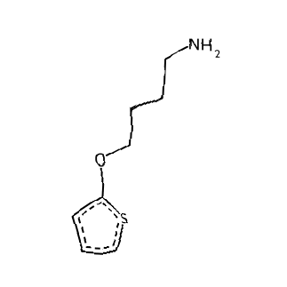 NCCCCOc1cccs1